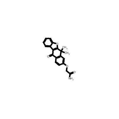 CC1(C)c2cc(OCC(N)=O)ccc2C(=O)c2c1oc1ccccc21